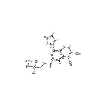 CNS(=O)(=O)CCNc1cc(-n2ccnc2)c2ccc(Cl)c(Cl)c2n1